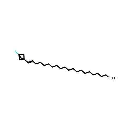 O=C(O)CCCCCCCCCCCCCCCCCC/C=C/C12CC(F)(C1)C2